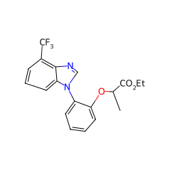 CCOC(=O)C(C)Oc1ccccc1-n1cnc2c(C(F)(F)F)cccc21